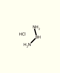 Cl.NBN